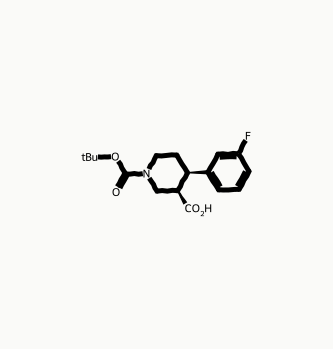 CC(C)(C)OC(=O)N1CC[C@@H](c2cccc(F)c2)[C@@H](C(=O)O)C1